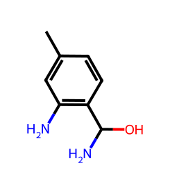 Cc1ccc(C(N)O)c(N)c1